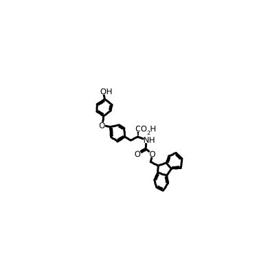 O=C(N[C@@H](Cc1ccc(Oc2ccc(O)cc2)cc1)C(=O)O)OCC1c2ccccc2-c2ccccc21